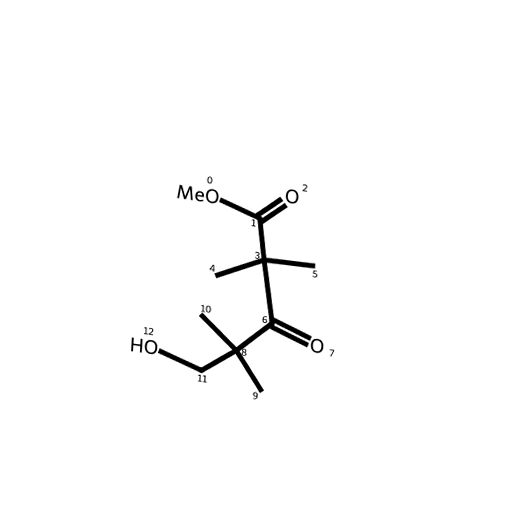 COC(=O)C(C)(C)C(=O)C(C)(C)CO